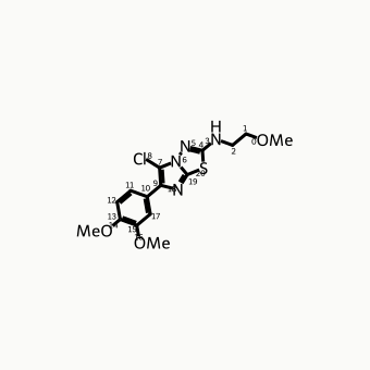 COCCNc1nn2c(Cl)c(-c3ccc(OC)c(OC)c3)nc2s1